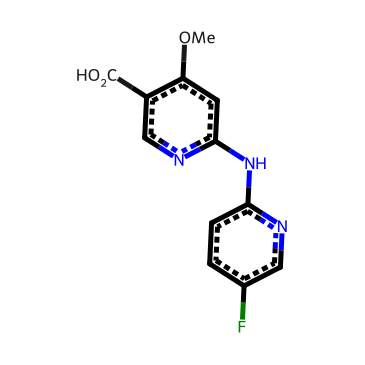 COc1cc(Nc2ccc(F)cn2)ncc1C(=O)O